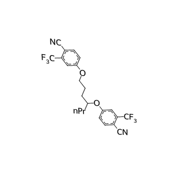 CCCC(CCCOc1ccc(C#N)c(C(F)(F)F)c1)Oc1ccc(C#N)c(C(F)(F)F)c1